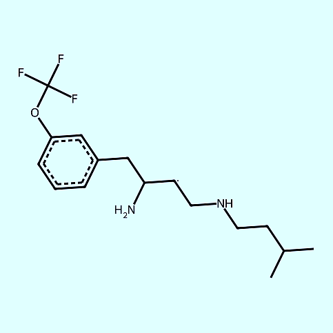 CC(C)CCNC[CH]C(N)Cc1cccc(OC(F)(F)F)c1